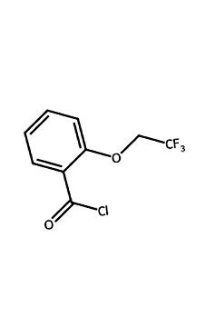 O=C(Cl)c1ccccc1OCC(F)(F)F